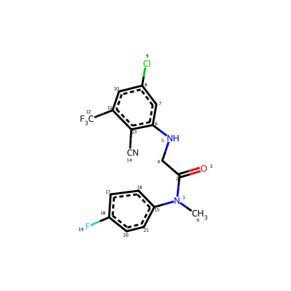 CN(C(=O)CNc1cc(Cl)cc(C(F)(F)F)c1C#N)c1ccc(F)cc1